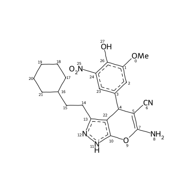 COc1cc(C2C(C#N)=C(N)Oc3[nH]nc(CCC4CCCCC4)c32)cc([N+](=O)[O-])c1O